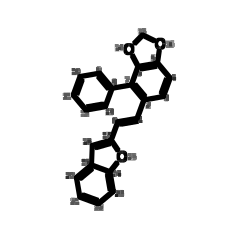 C(=Cc1ccc2c(c1-c1ccccc1)OCO2)c1cc2ccccc2o1